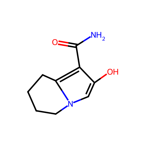 NC(=O)c1c(O)cn2c1CCCC2